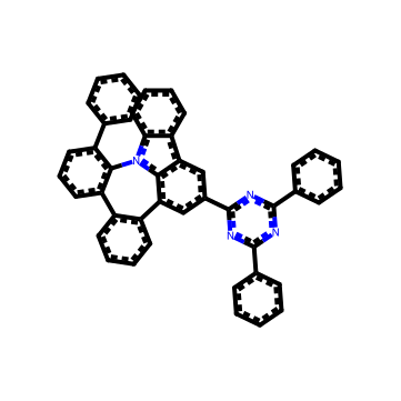 c1ccc(-c2nc(-c3ccccc3)nc(-c3cc4c5c(c3)c3ccccc3n5-c3c(-c5ccccc5)cccc3-c3ccccc3-4)n2)cc1